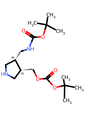 CC(C)(C)OC(=O)NC[C@H]1CNC[C@H]1COC(=O)OC(C)(C)C